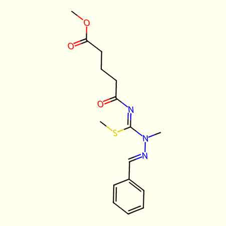 COC(=O)CCCC(=O)/N=C(\SC)N(C)/N=C/c1ccccc1